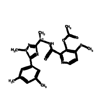 COc1ccnc(C(=O)N[C@@H](C)c2nc(-c3cc(C)cc(C)c3)n(C)n2)c1OC(C)=O